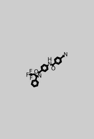 N#Cc1ccc(C(=O)Nc2ccc(-c3nc(-c4ccccc4)c(C(F)(F)F)o3)cc2)cc1